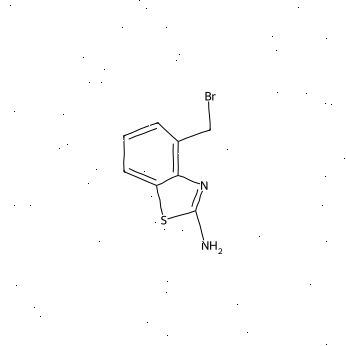 Nc1nc2c(CBr)cccc2s1